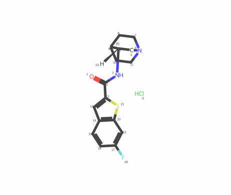 Cl.O=C(N[C@H]1CN2CCC1CC2)c1cc2ccc(F)cc2s1